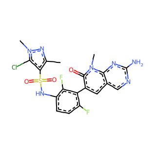 Cc1nn(C)c(Cl)c1S(=O)(=O)Nc1ccc(F)c(-c2cc3cnc(N)nc3n(C)c2=O)c1F